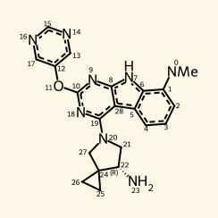 CNc1cccc2c1[nH]c1nc(Oc3cncnc3)nc(N3C[C@H](N)C4(CC4)C3)c12